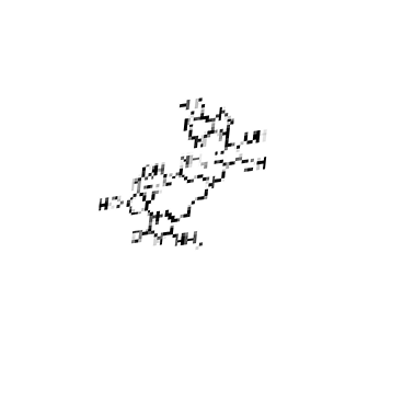 Nc1nc(=O)n([C@H]2C[C@H](O)[C@@H](CO)O2)cc1CCCN(CC[C@H](N)C(=O)O)CC1O[C@@H](n2cnc3c(N)ncnc32)[C@H](O)[C@@H]1O